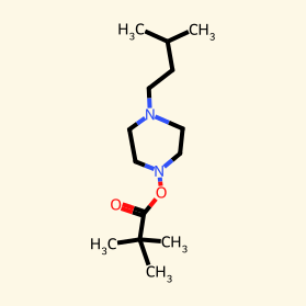 CC(C)CCN1CCN(OC(=O)C(C)(C)C)CC1